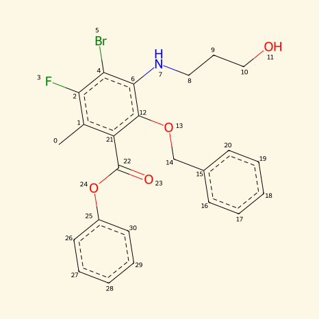 Cc1c(F)c(Br)c(NCCCO)c(OCc2ccccc2)c1C(=O)Oc1ccccc1